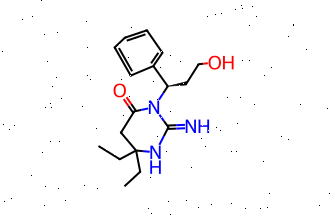 CCC1(CC)CC(=O)N([C@H](CCO)c2ccccc2)C(=N)N1